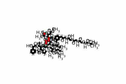 CC[C@H](C)[C@@H]([C@@H](CC(=O)N1CCC[C@H]1[C@H](OC)[C@@H](C)C(=O)N[C@H](C)[C@@H](O)c1ccccc1)OC)N(C)C(=O)[C@@H](NC(=O)[C@H](C(C)C)N(C)C(=O)OCc1cc(CC(=O)CNC(=O)CNC(=O)CNC(=O)CONC(=O)OC(C)(C)C)ccc1O[C@@H]1OC(C(=O)OC)[C@@H](OC(C)=O)C(OC(C)=O)C1OC(C)=O)C(C)C